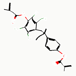 C=C(C)C(=O)Oc1ccc(C(C)(C)c2c(Br)c(Br)c(OC(=O)C(=C)C)c(Br)c2Br)cc1